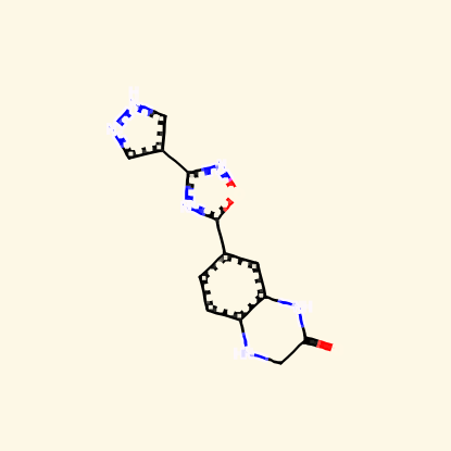 O=C1CNc2ccc(-c3nc(-c4cn[nH]c4)no3)cc2N1